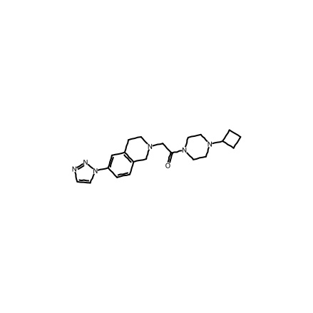 O=C(CN1CCc2cc(-n3ccnn3)ccc2C1)N1CCN(C2CCC2)CC1